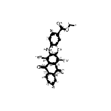 CCOC(=O)c1ccc(Nc2c(F)c(F)c3c(c2F)C(=O)c2ccccc2C3=O)cc1